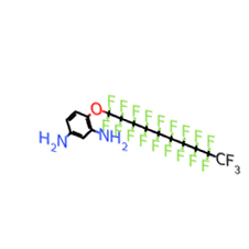 Nc1ccc(OC(F)(F)C(F)(F)C(F)(F)C(F)(F)C(F)(F)C(F)(F)C(F)(F)C(F)(F)C(F)(F)C(F)(F)F)c(N)c1